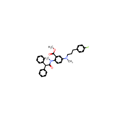 COC(=O)c1cc(N(C)CCCc2ccc(F)cc2)ccc1N(C)C(=O)C(c1ccccc1)c1ccccc1